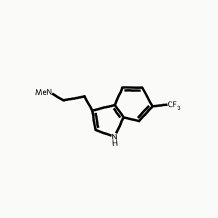 CNCCc1c[nH]c2cc(C(F)(F)F)ccc12